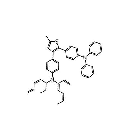 C=C/C=C\C(=C/C)N(/C(C=C)=C/C=C\C)c1ccc(-c2cc(C)sc2-c2ccc(N(c3ccccc3)c3ccccc3)cc2)cc1